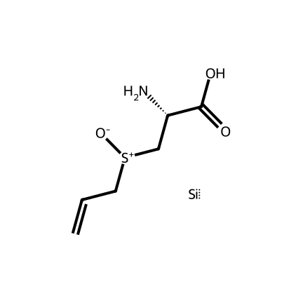 C=CC[S+]([O-])C[C@H](N)C(=O)O.[Si]